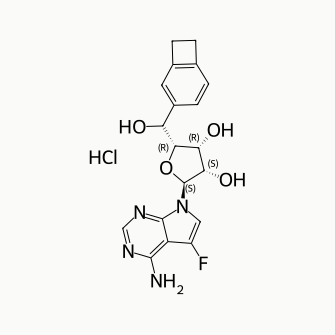 Cl.Nc1ncnc2c1c(F)cn2[C@H]1O[C@H](C(O)c2ccc3c(c2)CC3)[C@H](O)[C@@H]1O